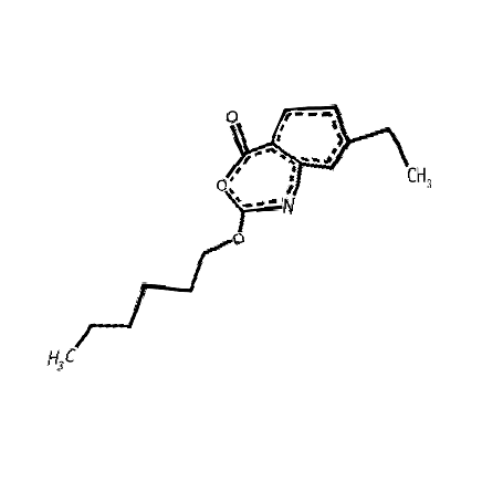 CCCCCCOc1nc2cc(CC)ccc2c(=O)o1